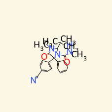 CNC(=O)N1C(C(C)(C)C)N(C)C(=O)C1(c1ccccc1)c1ccc(C#N)cc1